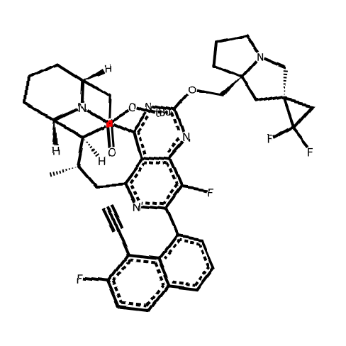 C#Cc1c(F)ccc2cccc(-c3nc4c5c(nc(OC[C@@]67CCCN6C[C@@]6(CC6(F)F)C7)nc5c3F)N3C[C@H]5CCC[C@@H]([C@@H]3[C@@H](C)C4)N5C(=O)OC(C)(C)C)c12